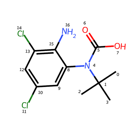 CC(C)(C)N(C(=O)O)c1cc(Cl)cc(Cl)c1N